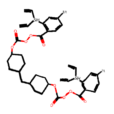 C=C[SiH](C=C)c1cc(CC)ccc1C(=O)OOC(=O)OC1CCC(CC2CCC(OC(=O)OOC(=O)c3ccc(CC)cc3[SiH](C=C)C=C)CC2)CC1